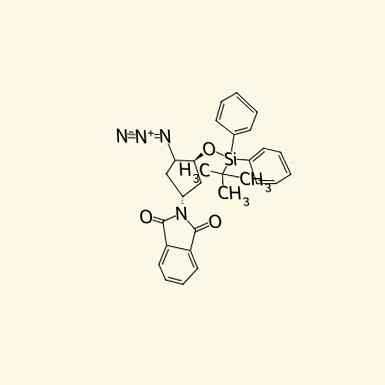 CC(C)(C)[Si](O[C@H]1C[C@H](N2C(=O)c3ccccc3C2=O)CC1N=[N+]=[N-])(c1ccccc1)c1ccccc1